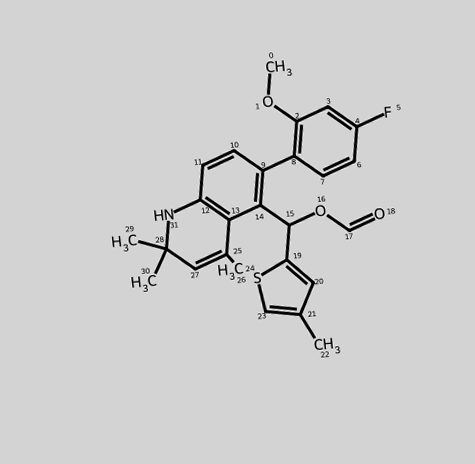 COc1cc(F)ccc1-c1ccc2c(c1C(OC=O)c1cc(C)cs1)C(C)=CC(C)(C)N2